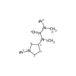 CC(C)N1CCC(N(C)C(=O)N(C)C(C)C)C1